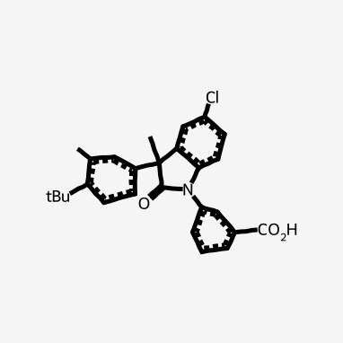 Cc1cc(C2(C)C(=O)N(c3cccc(C(=O)O)c3)c3ccc(Cl)cc32)ccc1C(C)(C)C